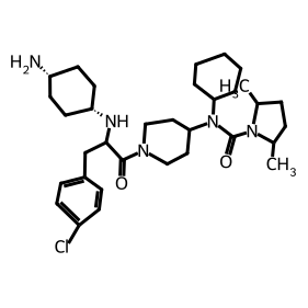 CC1CCC(C)N1C(=O)N(C1CCCCC1)C1CCN(C(=O)C(Cc2ccc(Cl)cc2)N[C@H]2CC[C@@H](N)CC2)CC1